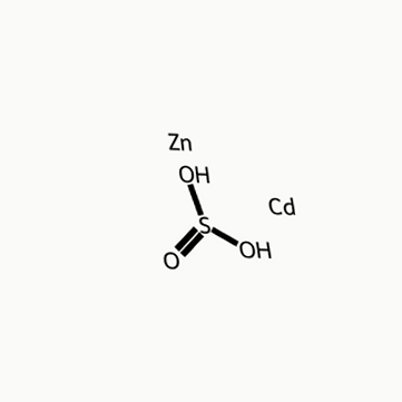 O=S(O)O.[Cd].[Zn]